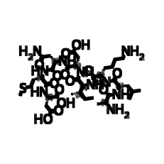 CC[C@H](C)[C@H](NC(=O)[C@H](CCCCN)NC(=O)[C@H](CC(C)C)NC(=O)[C@H](C)N)C(=O)N[C@@H](CC(=O)O)C(=O)N[C@@H](CC(N)=O)C(=O)N[C@@H](CCSC)C(=O)N[C@@H](CC(=O)O)C(=O)O